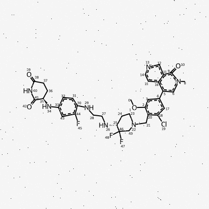 COc1cc(-c2cn(C)c(=O)c3cnccc23)cc(Cl)c1CN1CC[C@@H](NCCNc2ccc(N[C@@H]3CCC(=O)NC3=O)cc2F)C(F)(F)C1